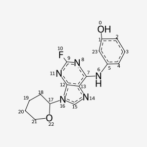 Oc1cccc(Nc2nc(F)nc3c2ncn3C2CCCCO2)c1